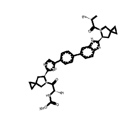 COC(=O)N[C@H](C(=O)N1CC2(CC2)C[C@H]1c1ncc(-c2ccc(-c3ccc4nc([C@@H]5CC6(CC6)CN5C(=O)[C@@H](C)C(C)C)[nH]c4c3)cc2)[nH]1)C(C)C